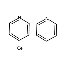 [Ce].c1ccncc1.c1ccncc1